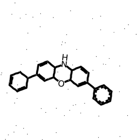 C1=CCC(C2=CC3OC4C=C(c5ccccc5)C=CC4NC3C=C2)C=C1